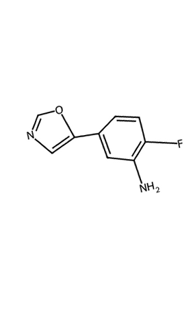 Nc1cc(-c2cnco2)ccc1F